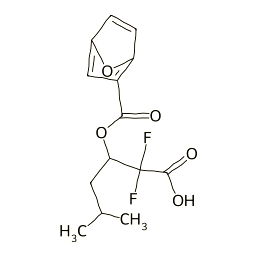 CC(C)CC(OC(=O)c1cc2ccc1o2)C(F)(F)C(=O)O